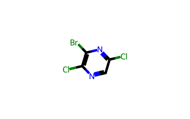 Clc1cnc(Cl)c(Br)n1